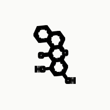 O=c1c2c(O)cc(O)cc2oc2ccc3ccccc3c12